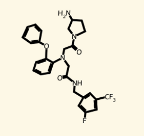 NC1CCN(C(=O)CN(CC(=O)NCc2cc(F)cc(C(F)(F)F)c2)c2ccccc2Oc2ccccc2)C1